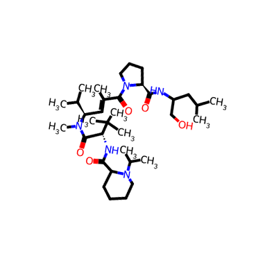 C/C(=C\[C@H](C(C)C)N(C)C(=O)[C@@H](NC(=O)C1CCCCN1C(C)C)C(C)(C)C)C(=O)N1CCC[C@H]1C(=O)NC(CO)CC(C)C